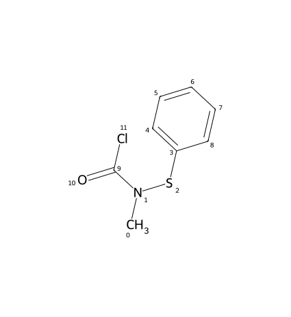 CN(Sc1ccccc1)C(=O)Cl